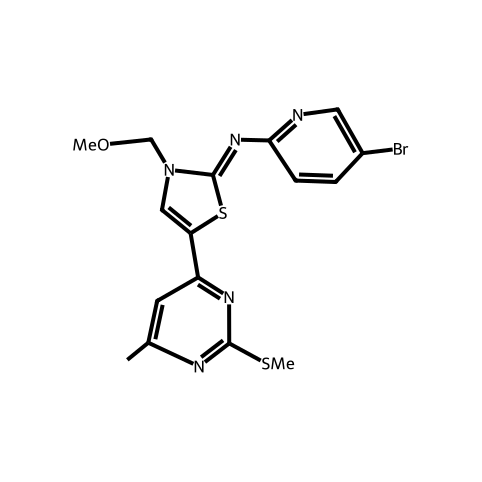 COCn1cc(-c2cc(C)nc(SC)n2)s/c1=N\c1ccc(Br)cn1